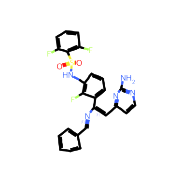 Nc1nccc(/C=C(/N=C/c2ccccc2)c2cccc(NS(=O)(=O)c3c(F)cccc3F)c2F)n1